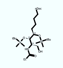 CCCCCCCCCCCCCC[C@@H](O[Si](C)(C)C(C)(C)C)[C@@H](O[Si](C)(C)C(C)(C)C)[C@H](CO)NC(=O)CC